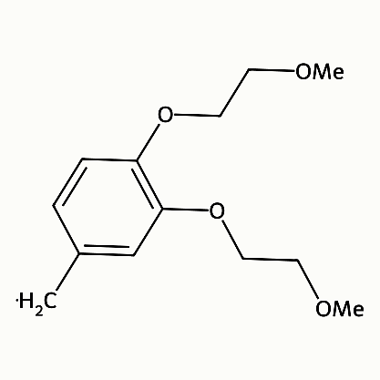 [CH2]c1ccc(OCCOC)c(OCCOC)c1